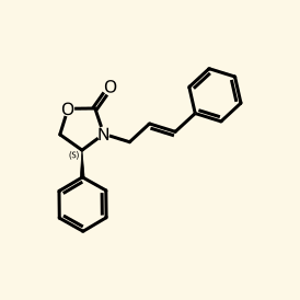 O=C1OC[C@H](c2ccccc2)N1CC=Cc1ccccc1